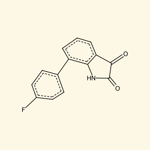 O=C1Nc2c(cccc2-c2ccc(F)cc2)C1=O